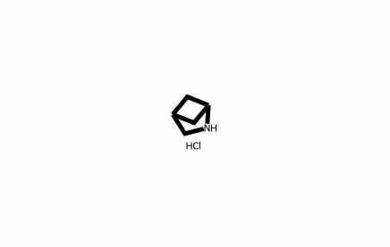 C1NC2CC1C2.Cl